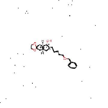 O[C@@H]1[C@H](CCCCCOCc2ccccc2)C[C@H]2CC3(C[C@H]21)OCCO3